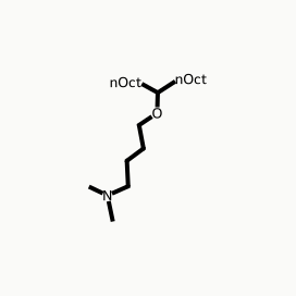 CCCCCCCCC(CCCCCCCC)OCCCCN(C)C